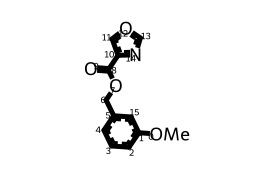 COc1cccc(COC(=O)c2cocn2)c1